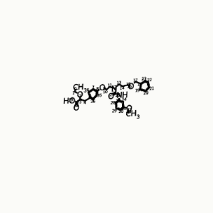 CCOC(Cc1ccc(OCCN(CCCOCc2ccccc2)C(=O)Nc2cccc(OC)c2)cc1)C(=O)O